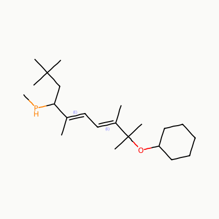 CPC(CC(C)(C)C)/C(C)=C/C=C(\C)C(C)(C)OC1CCCCC1